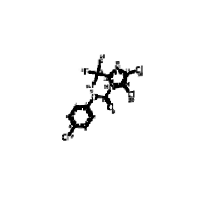 O=C(Oc1ccc(Cl)cc1)n1c(C(F)(F)F)nc(Cl)c1Cl